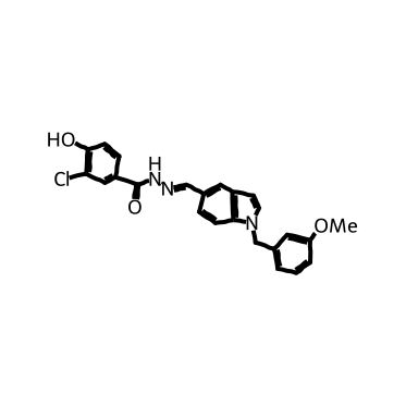 COc1cccc(Cn2ccc3cc(/C=N/NC(=O)c4ccc(O)c(Cl)c4)ccc32)c1